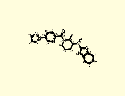 CC1C(N(C)c2nc3ccccc3o2)CCCN1C(=O)c1ccc(-n2nccn2)cn1